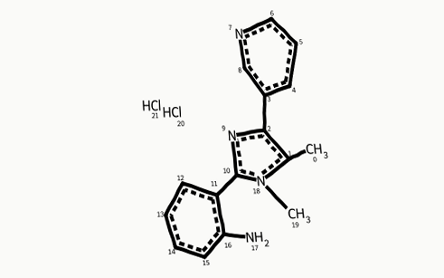 Cc1c(-c2cccnc2)nc(-c2ccccc2N)n1C.Cl.Cl